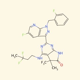 CC(F)(F)CCNc1nc(-c2nn(Cc3ccccc3F)c3ncc(F)cc23)nc2c1C(C)(C(F)(F)F)C(=O)N2